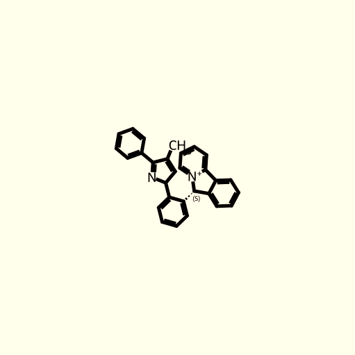 CC1=CC(c2ccccc2[C@H]2c3ccccc3-c3cccc[n+]32)N=C1c1ccccc1